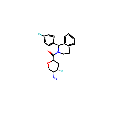 N[C@@H]1CO[C@@H](C(=O)N2CCc3ccccc3[C@@H]2c2ccc(F)cc2)C[C@@H]1F